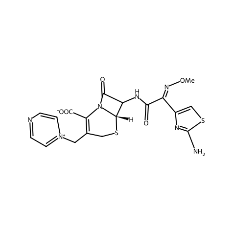 CON=C(C(=O)NC1C(=O)N2C(C(=O)[O-])=C(C[n+]3ccncc3)CS[C@@H]12)c1csc(N)n1